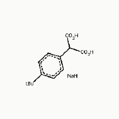 CC(C)(C)c1ccc(C(C(=O)O)C(=O)O)cc1.[NaH]